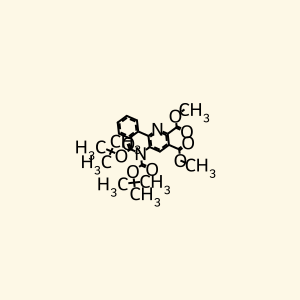 COC(=O)c1cc(N(C(=O)OC(C)(C)C)C(=O)OC(C)(C)C)c(-c2ccccc2)nc1C(=O)OC